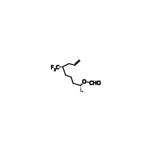 [CH2][C@H](CCCC(CC=C)C(F)(F)F)OC=O